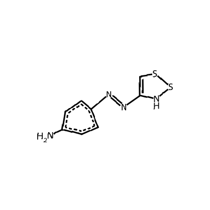 Nc1ccc(N=NC2=CSSN2)cc1